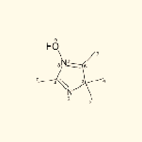 CC1=NC(C)(C)C(C)=[N+]1O